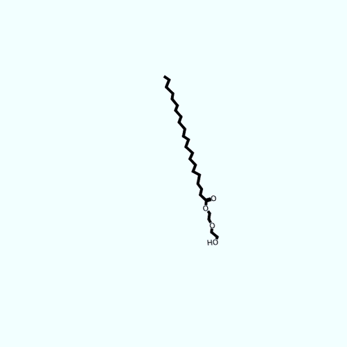 CCCCCCCCCCCCCCCCCCCCCC(=O)OCCOCCO